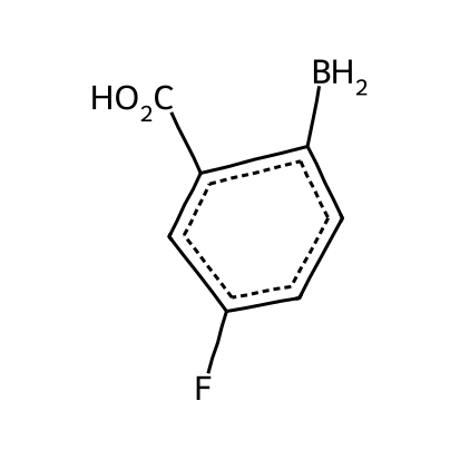 Bc1ccc(F)cc1C(=O)O